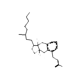 CCCCCC(C)CCC1CCC2(N)Cc3c(CCC(C)=O)cccc3CC12N